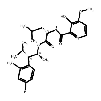 COc1ccnc(C(=O)N[C@@H](CC(C)C)C(=O)O[C@@H](C)[C@H](c2ccc(F)cc2C)C(C)C)c1O